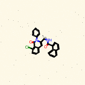 C[C@H](NC(=O)c1cccc2ccccc12)c1cc2cccc(Cl)c2c(=O)n1-c1ccccc1